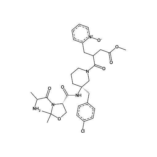 COC(=O)CC(Cc1cccc[n+]1[O-])C(=O)N1CCC[C@](Cc2ccc(Cl)cc2)(NC(=O)[C@@H]2COC(C)(C)N2C(=O)C(C)N)C1